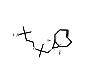 BC(C)(C)CCOC(C)(C)C[C@@H]1[C@@H]2CC/C=C/CC[C@@H]21